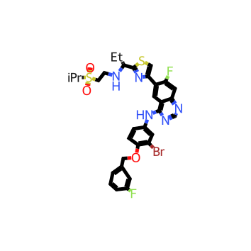 CCC(NCCS(=O)(=O)C(C)C)c1nc(-c2cc3c(Nc4ccc(OCc5cccc(F)c5)c(Br)c4)ncnc3cc2F)cs1